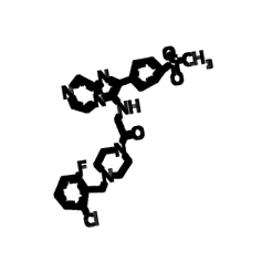 CS(=O)(=O)c1ccc(-c2nc3cnccn3c2NCC(=O)N2CCN(Cc3c(F)cccc3Cl)CC2)cc1